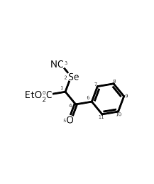 CCOC(=O)C([Se]C#N)C(=O)c1ccccc1